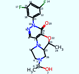 CB(O)N1CCN2c3cnn(-c4cc(F)cc(F)c4)c(=O)c3OC(C)C2C1